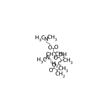 C=C(C)C(=O)O.C=C(C)C(=O)OCCN(C)C.C=CC(=O)OCCN(C)C